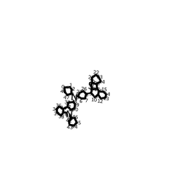 c1ccc(N(c2ccc(-c3cc4ccccc4c4c3sc3ccccc34)cc2)c2ccc3c(c2)c2ccccc2n3-c2ccccc2)cc1